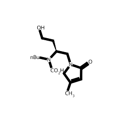 CCCCN(C(=O)O)[C@@H](CCO)CN1CC(C)=CC1=O